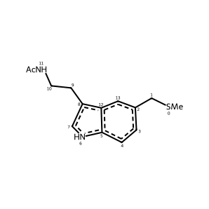 CSCc1ccc2[nH]cc(CCNC(C)=O)c2c1